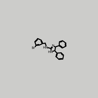 Brc1cccc(CNC2=NC(c3ccccc3)C(c3ccccc3)N2)c1